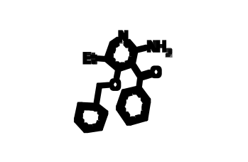 CCc1cnc(N)c(C(=O)c2ccccc2)c1OCc1ccccc1